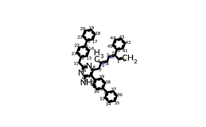 C=C/C(=C\C=C(/C)Cc1nc(Cc2ccc(-c3ccccc3)cc2)nc(N)c1-c1ccc(-c2ccccc2)cc1)c1ccccc1